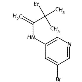 C=C(Nc1cncc(Br)c1)C(C)(C)CC